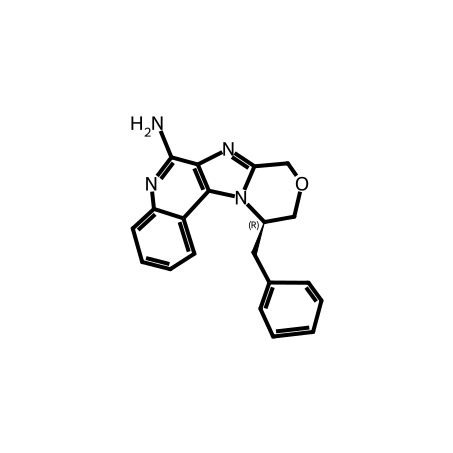 Nc1nc2ccccc2c2c1nc1n2[C@H](Cc2ccccc2)COC1